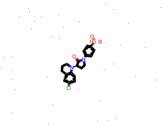 O=C1[C@H](N2CCCc3cc(Cl)ccc32)CCN1c1ccc([SH](=O)=O)cc1